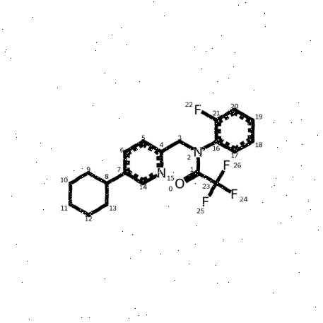 O=C(N(Cc1ccc(C2CCCCC2)cn1)c1ccccc1F)C(F)(F)F